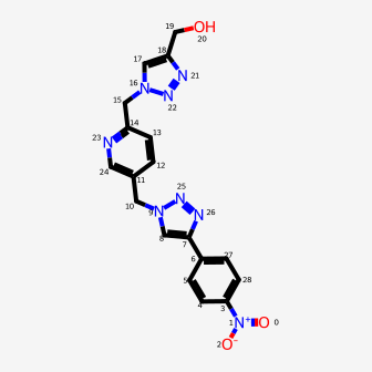 O=[N+]([O-])c1ccc(-c2cn(Cc3ccc(Cn4cc(CO)nn4)nc3)nn2)cc1